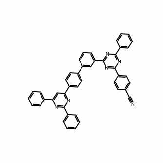 N#Cc1ccc(-c2nc(-c3ccccc3)nc(-c3cccc(-c4ccc(-c5cc(-c6ccccc6)nc(-c6ccccc6)n5)cc4)c3)n2)cc1